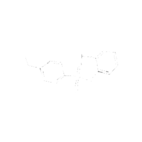 O=Cc1ccc(S(=O)(=O)Oc2ccccc2Cl)cc1